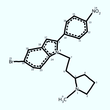 CN1CCCC1CCn1c(-c2ccc([N+](=O)[O-])cc2)cc2cc(Br)ccc21